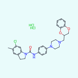 Cc1cc2c(cc1Cl)N(C(=O)Nc1ccc(N3CCN(CC4COc5ccccc5O4)CC3)cc1)CC2.Cl.Cl